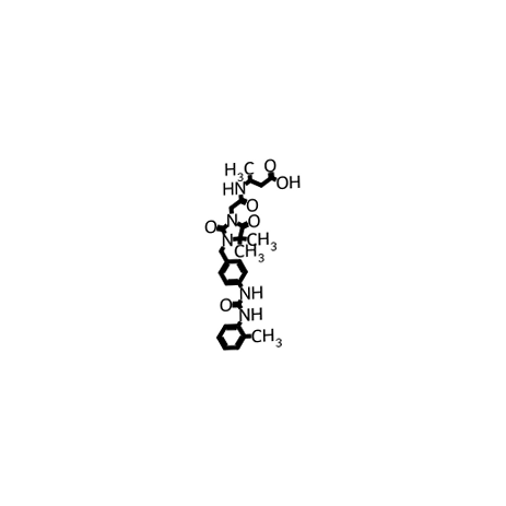 Cc1ccccc1NC(=O)Nc1ccc(CN2C(=O)N(CC(=O)NC(C)CC(=O)O)C(=O)C2(C)C)cc1